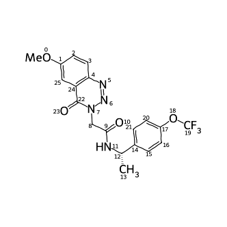 COc1ccc2nnn(CC(=O)N[C@@H](C)c3ccc(OC(F)(F)F)cc3)c(=O)c2c1